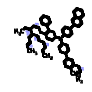 C=C\C=C/C=C/C(=C\C=C\C)C(/C=C\CC1=C(c2ccccc2)CC(N(C2=CCC(c3ccc(C)c(/C=C\C)c3)C=C2)c2ccc(-c3ccc4ccccc4c3)cc2)C=C1)=C\C